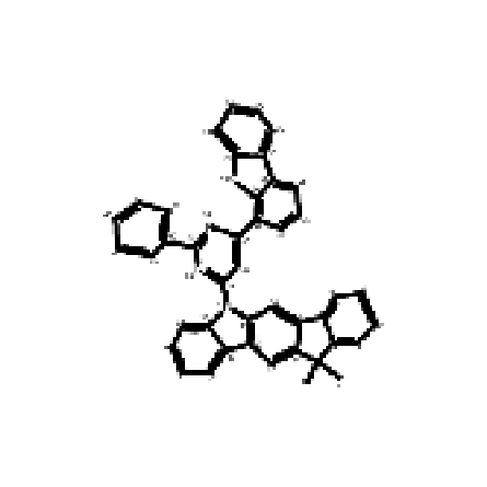 CC1(C)c2ccccc2-c2cc3c(cc21)c1ccccc1n3-c1cc(-c2cccc3c2sc2ccccc23)nc(-c2ccccc2)n1